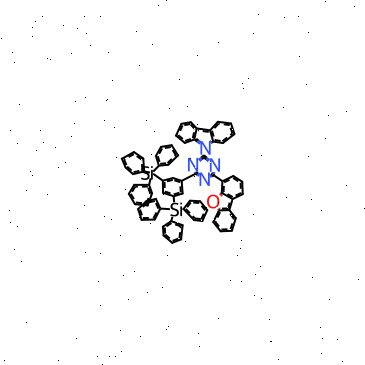 c1ccc([Si](c2ccccc2)(c2ccccc2)c2cc(-c3nc(-c4cccc5c4oc4ccccc45)nc(-n4c5ccccc5c5ccccc54)n3)cc([Si](c3ccccc3)(c3ccccc3)c3ccccc3)c2)cc1